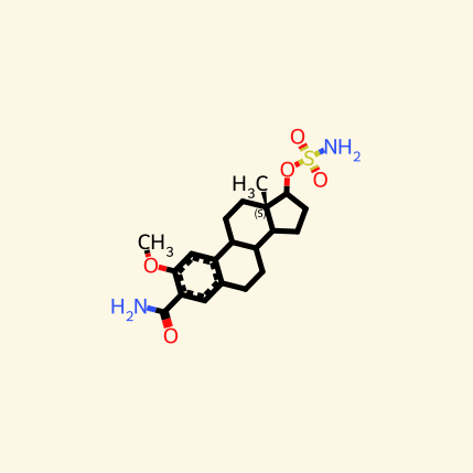 COc1cc2c(cc1C(N)=O)CCC1C2CC[C@]2(C)C(OS(N)(=O)=O)CCC12